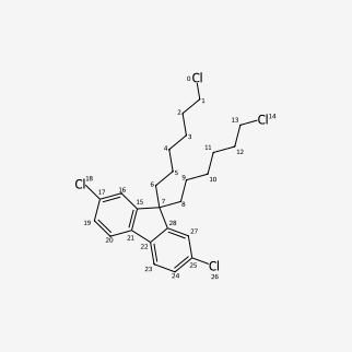 ClCCCCCCC1(CCCCCCCl)c2cc(Cl)ccc2-c2ccc(Cl)cc21